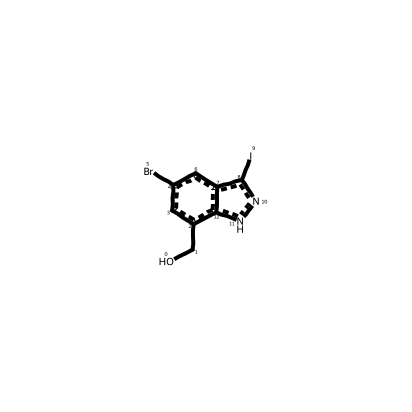 OCc1cc(Br)cc2c(I)n[nH]c12